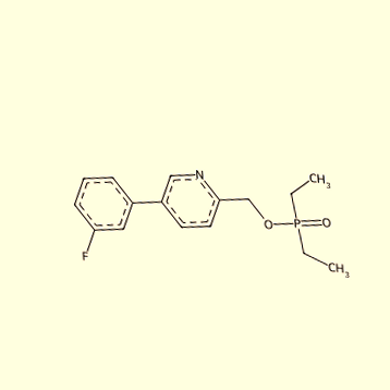 CCP(=O)(CC)OCc1ccc(-c2cccc(F)c2)cn1